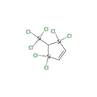 Cl[Si](Cl)(Cl)C1[Si](Cl)(Cl)C=C[Si]1(Cl)Cl